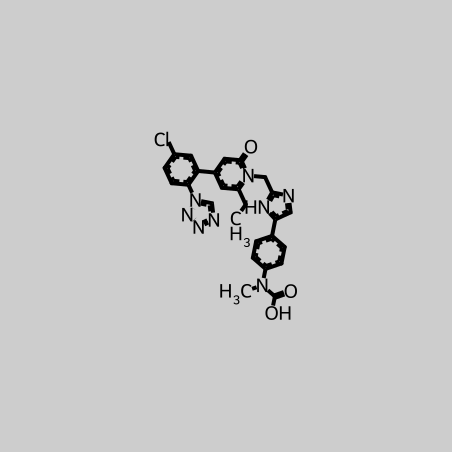 CCc1cc(-c2cc(Cl)ccc2-n2cnnn2)cc(=O)n1Cc1ncc(-c2ccc(N(C)C(=O)O)cc2)[nH]1